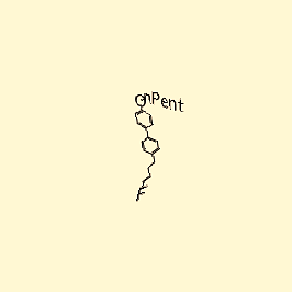 CCCCCOc1ccc(-c2ccc(CC/C=C/F)cc2)cc1